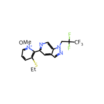 CCSc1ccc[n+](OC)c1-c1cc2cnn(CC(F)(F)C(F)(F)F)c2cn1